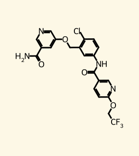 NC(=O)c1cncc(OCc2cc(NC(=O)c3ccc(OCC(F)(F)F)nc3)ccc2Cl)c1